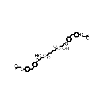 O=C(CCCCC(=O)OCC(O)COc1ccc(Cc2ccc(OCC3CO3)cc2)cc1)OCC(O)COc1ccc(Cc2ccc(OCC3CO3)cc2)cc1